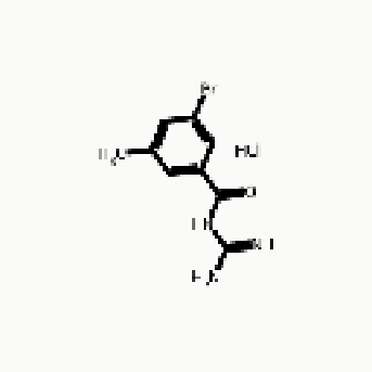 Cc1cc(Br)cc(C(=O)NC(=N)N)c1.Cl